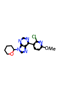 COc1ccc(-c2ncnc3c2ncn3C2CCCCO2)c(Cl)n1